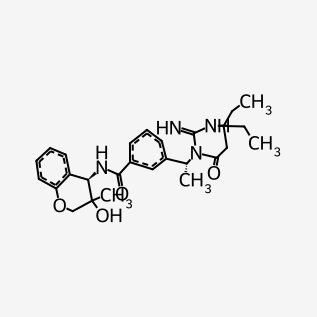 CCC1(CC)CC(=O)N([C@H](C)c2cccc(C(=O)N[C@@H]3c4ccccc4OCC3(C)O)c2)C(=N)N1